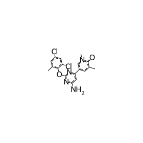 Cc1cc(Cl)cc(Cl)c1Oc1nc(N)cc(-c2cc(C)c(=O)n(C)c2)n1